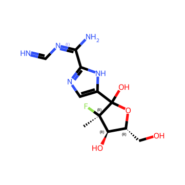 C[C@@]1(F)[C@H](O)[C@@H](CO)OC1(O)c1cnc(/C(N)=N\C=N)[nH]1